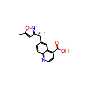 Cc1cc([C@H](C)c2ccc3nccc(C(=O)O)c3c2)no1